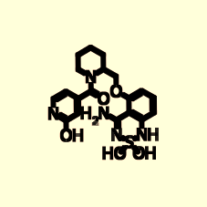 NC1=NS(O)(O)Nc2cccc(OCC3CCCCN3C(=O)c3ccnc(O)c3)c21